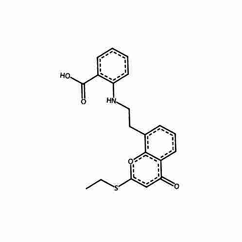 CCSc1cc(=O)c2cccc(CCNc3ccccc3C(=O)O)c2o1